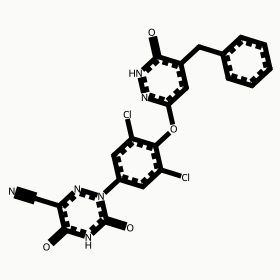 N#Cc1nn(-c2cc(Cl)c(Oc3cc(Cc4ccccc4)c(=O)[nH]n3)c(Cl)c2)c(=O)[nH]c1=O